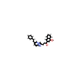 O=C(CCc1cn2cc(CCC3CCCCC3)ccc2n1)C1=CC(=O)C2C=CC=CC2=C1